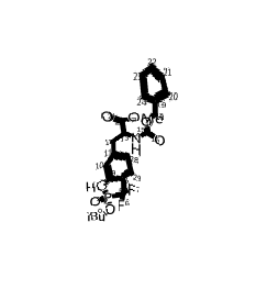 CCC(C)OP(=O)(O)C(F)(F)c1ccc(CC(NC(=O)OCc2ccccc2)C(=O)OC)cc1